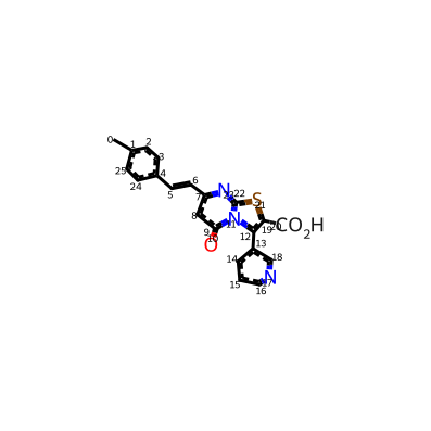 Cc1ccc(/C=C/c2cc(=O)n3c(-c4cccnc4)c(C(=O)O)sc3n2)cc1